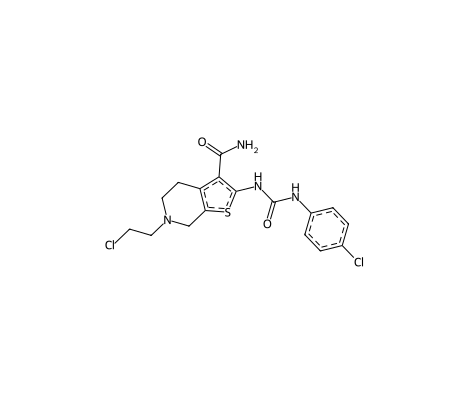 NC(=O)c1c(NC(=O)Nc2ccc(Cl)cc2)sc2c1CCN(CCCl)C2